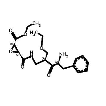 CCOC[C@H](CNC(=O)[C@H]1O[C@@H]1C(=O)OCC)C(=O)[C@@H](N)Cc1ccccc1